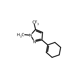 Cn1nc(C2=CCCCC2)cc1C(F)(F)F